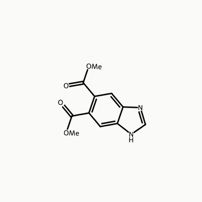 COC(=O)c1cc2nc[nH]c2cc1C(=O)OC